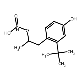 CC(Cc1ccc(O)cc1C(C)(C)C)O[PH](=O)O